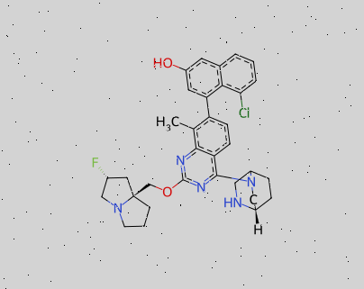 Cc1c(-c2cc(O)cc3cccc(Cl)c23)ccc2c(N3C[C@@H]4CCC3CN4)nc(OC[C@@]34CCCN3C[C@H](F)C4)nc12